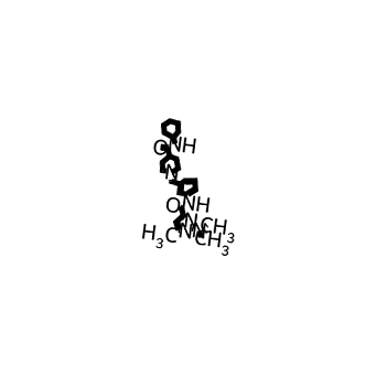 Cc1cc(C(=O)Nc2cccc(CN3CCC(C(=O)NC4CCCCC4)CC3)c2)nc(N(C)C)n1